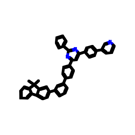 CC1(C)c2ccccc2-c2ccc(-c3cccc(-c4ccc(-c5cc(-c6ccc(-c7cccnc7)cc6)nc(-c6ccccc6)n5)cc4)c3)cc21